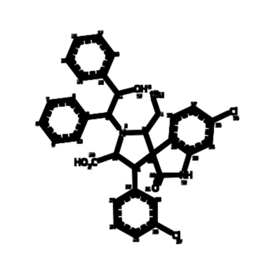 CC(C)(C)CC1N(C(c2ccccc2)C(O)c2ccccc2)C(C(=O)O)C(c2cccc(Cl)c2)C12C(=O)Nc1cc(Cl)ccc12